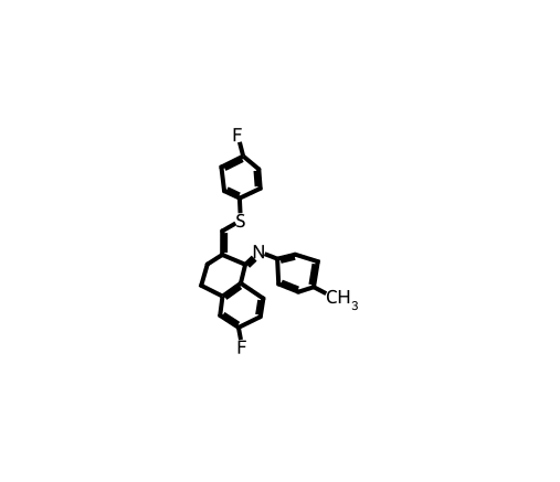 Cc1ccc(N=C2C(=CSc3ccc(F)cc3)CCc3cc(F)ccc32)cc1